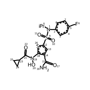 CC(C)N(c1ccc(F)cc1)S(=O)(=O)c1cc(C(N)=O)c(N(O)C(=O)C2CC2)s1